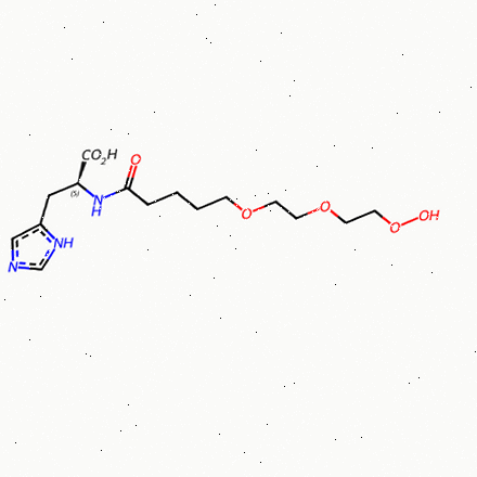 O=C(CCCCOCCOCCOO)N[C@@H](Cc1cnc[nH]1)C(=O)O